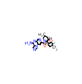 C[C@@H]1C[C@@H]2Oc3c(ccc(C(F)(F)F)c3F)[C@@H]2N(C(=O)c2cc3c(cn2)nc(N)c2cncn23)C1